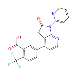 O=C(O)c1cc(-c2ccnc3c2CC(=O)N3c2ccccn2)ccc1C(F)(F)F